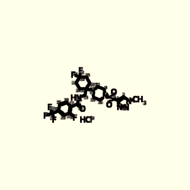 Cl.Cn1cc(S(=O)(=O)N2CCN(C3(CNC(=O)c4ccc(C(F)(F)F)cc4F)CCC(F)(F)CC3)CC2)nn1